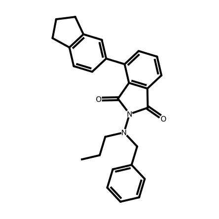 CCCN(Cc1ccccc1)N1C(=O)c2cccc(-c3ccc4c(c3)CCC4)c2C1=O